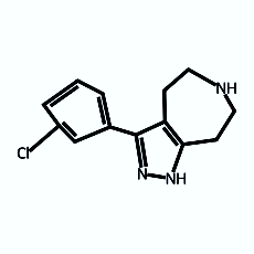 Clc1cccc(-c2n[nH]c3c2CCNCC3)c1